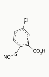 N#CSc1ccc(Cl)cc1C(=O)O